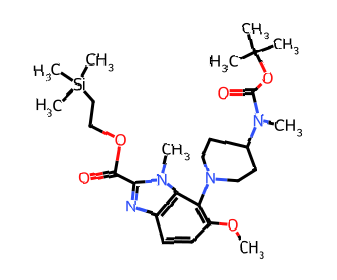 COc1ccc2nc(C(=O)OCC[Si](C)(C)C)n(C)c2c1N1CCC(N(C)C(=O)OC(C)(C)C)CC1